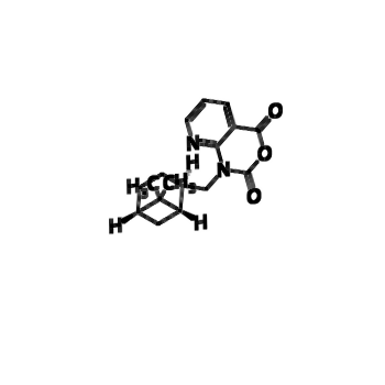 CC1(C)[C@H]2CC[C@@H](Cn3c(=O)oc(=O)c4cccnc43)[C@@H]1C2